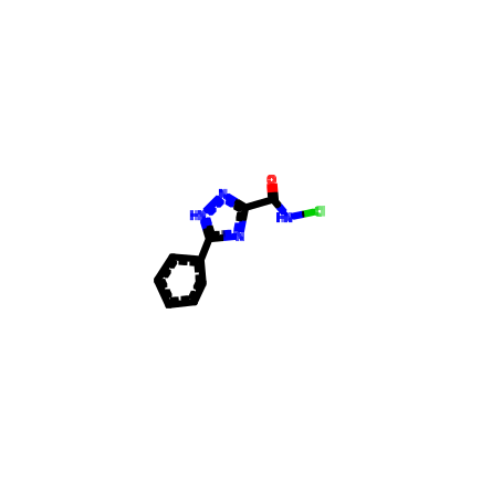 O=C(NCl)c1n[nH]c(-c2ccccc2)n1